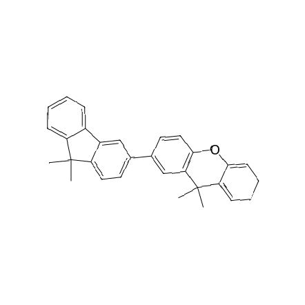 CC1(C)C2=CCCC=C2Oc2ccc(-c3ccc4c(c3)-c3ccccc3C4(C)C)cc21